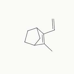 C=CC1=C(C)C2CCC1C2